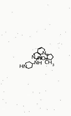 C[C@@]1(O)CCC[C@H]1N1CC=Cc2cnc(NC3CCNCC3)nc21